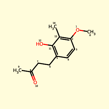 COc1ccc(CCC(C)=O)c(O)c1C